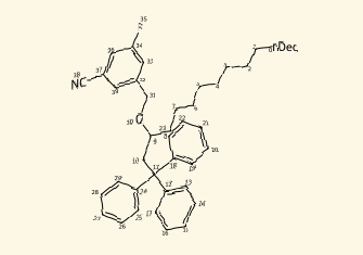 CCCCCCCCCCCCCCCCCCC(CC(c1ccccc1)(c1ccccc1)c1ccccc1)OCc1cc(F)cc(C#N)c1